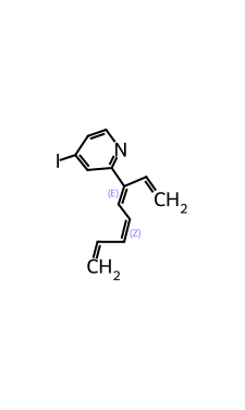 C=C/C=C\C=C(/C=C)c1cc(I)ccn1